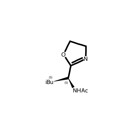 CC[C@H](C)[C@H](NC(C)=O)C1=NCCO1